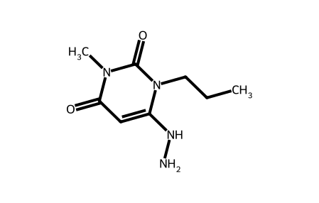 CCCn1c(NN)cc(=O)n(C)c1=O